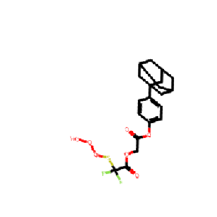 O=C(COC(=O)C(F)(F)SOOO)Oc1ccc(C23CC4CC(CC(C4)C2)C3)cc1